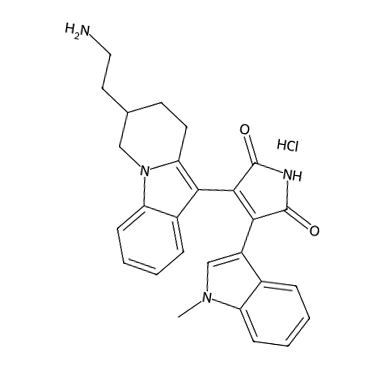 Cl.Cn1cc(C2=C(c3c4n(c5ccccc35)CC(CCN)CC4)C(=O)NC2=O)c2ccccc21